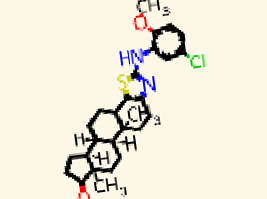 COc1ccc(Cl)cc1Nc1nc2c(s1)C1CC[C@@H]3[C@H](CC[C@]4(C)C(=O)CC[C@@H]34)[C@@]1(C)CC2